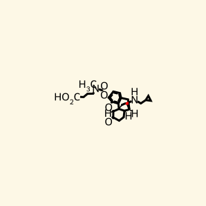 CN(CCCC(=O)O)C(=O)Oc1ccc2c3c1O[C@H]1C(=O)CC[C@H]4[C@@H](C2)C(NCC2CC2)CC[C@]314